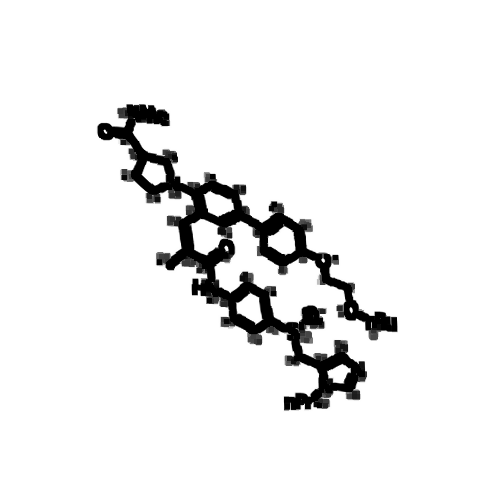 CCCCOCCOc1ccc(-c2ccc(N3CCC(C(=O)NC)C3)c(C=C(C)C(=O)Nc3ccc([S@@+]([O-])Cc4cncn4CCC)cc3)c2)cc1